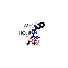 C=CCOCC(NC(=O)OC(C)(C)C)c1nc(-c2cc3ccccc3nc2OC)cn1C(=O)O